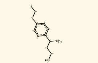 CCSc1ccc(C(N)CCO)nc1